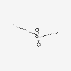 CCCCCCCCCCCCCCCn1cc(CC(C)c2ccccc2)[n+](CCCCCCCCCCCC)c1Cc1ccccc1